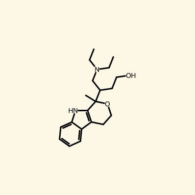 CCN(CC)CC(CCO)C1(C)OCCc2c1[nH]c1ccccc21